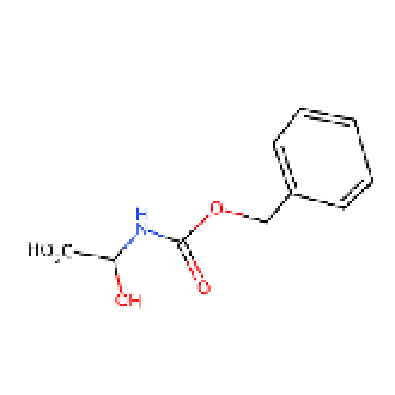 O=C(NC(O)C(=O)O)OCc1ccccc1